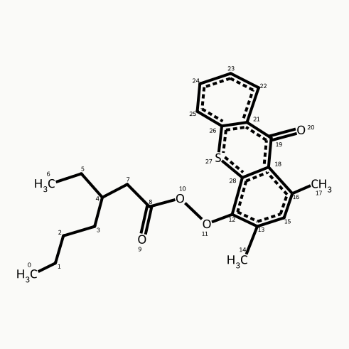 CCCCC(CC)CC(=O)OOc1c(C)cc(C)c2c(=O)c3ccccc3sc12